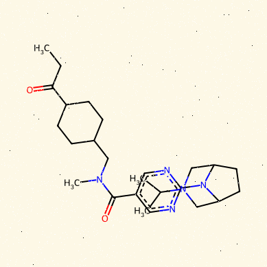 CCC(=O)C1CCC(CN(C)C(=O)c2cnc(N3C4CCC3CN(C(C)C)C4)nc2)CC1